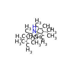 Cc1c(C)c(C(C)C)c(C)c(C)c1Nc1c(C)c(C)c(C(C)C)c(C)c1C